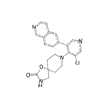 O=C1NCC2(CCN(c3c(Cl)cncc3-c3ccc4cnccc4c3)CC2)O1